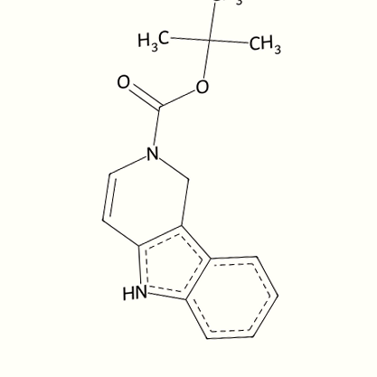 CC(C)(C)OC(=O)N1C=Cc2[nH]c3ccccc3c2C1